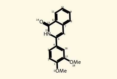 COc1ccc(-c2cc3ccccc3c(=O)[nH]2)cc1OC